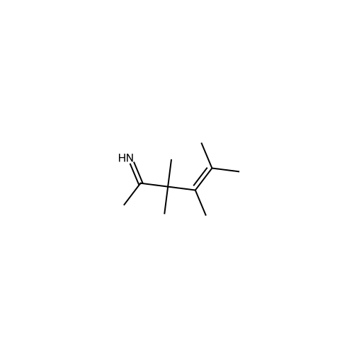 CC(=N)C(C)(C)C(C)=C(C)C